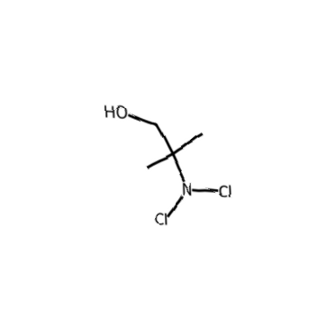 CC(C)(CO)N(Cl)Cl